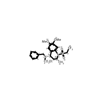 CCOC(=O)N(Cc1ccccc1)[C@H]1C[C@@H](C)N(S(=O)(=O)CC(F)(F)F)c2cc(OC)c(OC)cc21